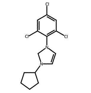 Clc1cc(Cl)c(N2C=CN(C3CCCC3)C2)c(Cl)c1